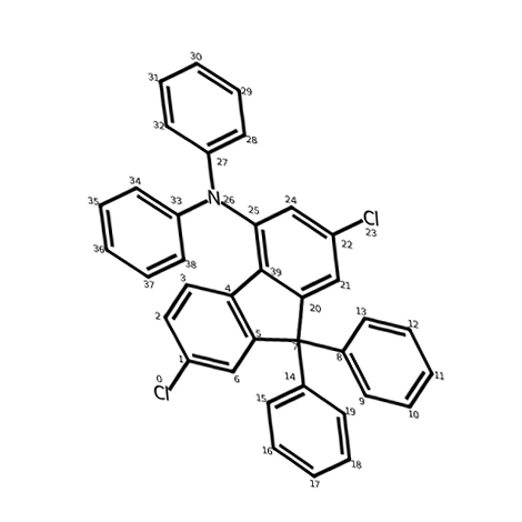 Clc1ccc2c(c1)C(c1ccccc1)(c1ccccc1)c1cc(Cl)cc(N(c3ccccc3)c3ccccc3)c1-2